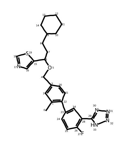 Cc1cc(COC(CCC2CCCCC2)c2cncs2)ccc1-c1ccc(F)c(-c2nnn[nH]2)c1